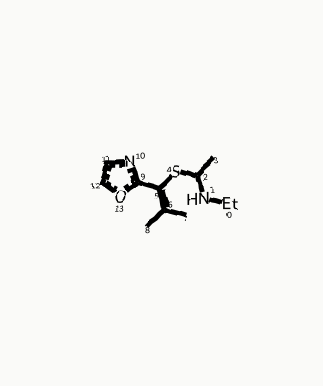 CCNC(C)SC(=C(C)C)c1ncco1